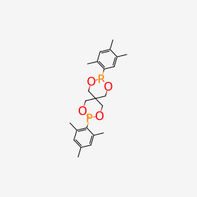 Cc1cc(C)c(P2OCC3(COP(c4cc(C)c(C)cc4C)OC3)CO2)c(C)c1